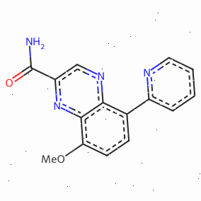 COc1ccc(-c2ccccn2)c2ncc(C(N)=O)nc12